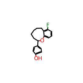 Oc1ccc(C2CCCCCc3c(F)cccc3O2)cc1